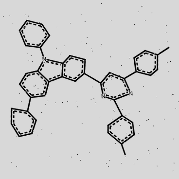 Cc1ccc(-c2cc(-c3ccc4c(c3)c3cc(-c5ccccc5)ccc3n4-c3ccccc3)nc(-c3ccc(C)cc3)n2)cc1